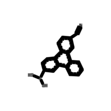 N#Cc1ccc2c3ccc(B(O)O)cc3c3ccccc3c2c1